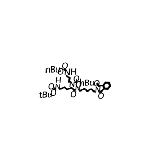 CCCCOC(=O)NCCCN(C(=O)OCCCC)C(CCCNC(=O)OC(C)(C)C)C(=O)NCCCCCN1C(=O)c2ccccc2C1=O